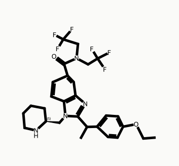 CCOc1ccc(C(C)c2nc3cc(C(=O)N(CC(F)(F)F)CC(F)(F)F)ccc3n2C[C@@H]2CCCCN2)cc1